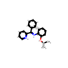 Cc1cccc(O[SiH](C)C)c1N=C(c1ccccc1)c1ccccn1